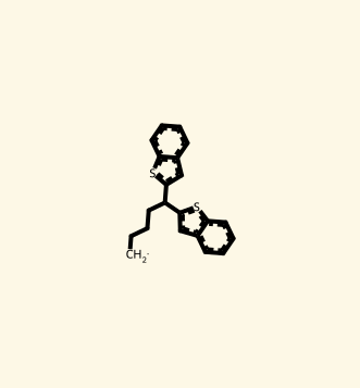 [CH2]CCCC(c1cc2ccccc2s1)c1cc2ccccc2s1